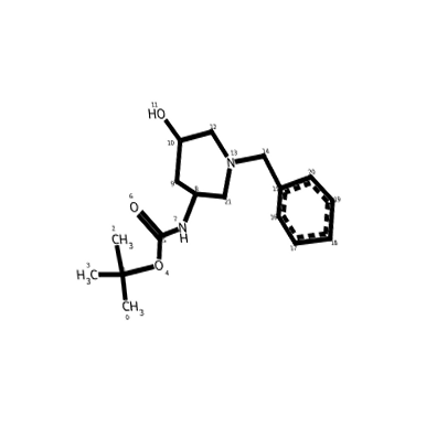 CC(C)(C)OC(=O)NC1CC(O)CN(Cc2ccccc2)C1